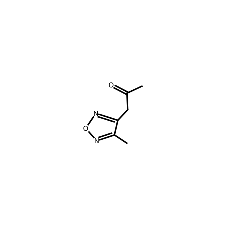 CC(=O)Cc1nonc1C